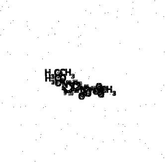 CC(C)(C)OC(=O)N1CCCc2cc(N3C[C@H](COS(C)(=O)=O)OC3=O)ccc2C1